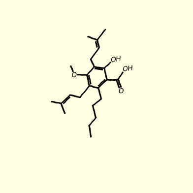 CCCCCc1c(CC=C(C)C)c(OC)c(CC=C(C)C)c(O)c1C(=O)O